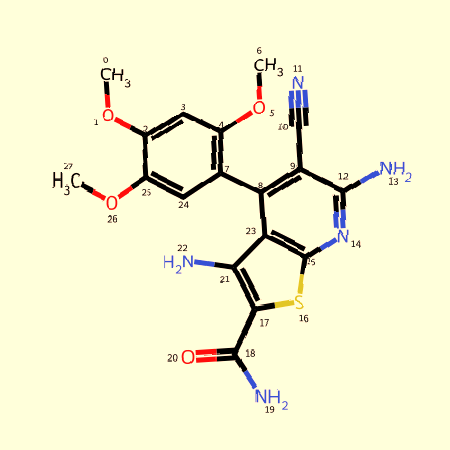 COc1cc(OC)c(-c2c(C#N)c(N)nc3sc(C(N)=O)c(N)c23)cc1OC